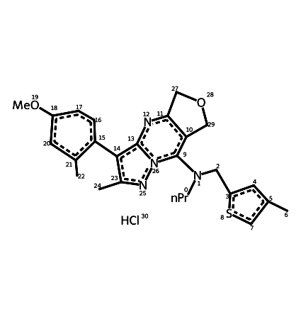 CCCN(Cc1cc(C)cs1)c1c2c(nc3c(-c4ccc(OC)cc4C)c(C)nn13)COC2.Cl